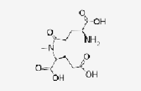 CN(C(=O)CC[C@H](N)C(=O)O)[C@@H](CCC(=O)O)C(=O)O